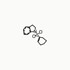 O=S(=O)(C1=CCCCC1)N1CCc2ccccc21